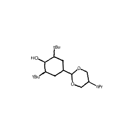 CCCC1COC(C2CC(C(C)(C)C)C(O)C(C(C)(C)C)C2)OC1